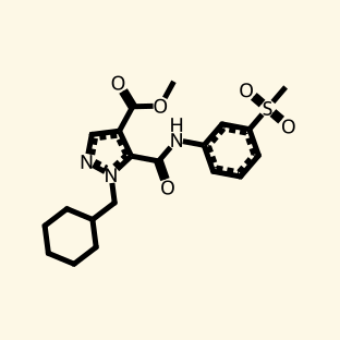 COC(=O)c1cnn(CC2CCCCC2)c1C(=O)Nc1cccc(S(C)(=O)=O)c1